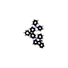 CC1(C)c2ccccc2-c2cccc(N(c3ccccc3)c3ccc(C4(c5ccc(N(c6ccccc6)c6ccccc6)cc5)CCCCC4)cc3)c21